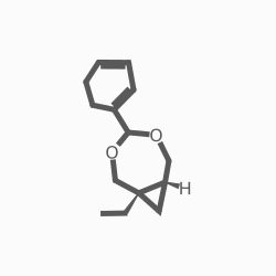 CC[C@@]12COC(C3=CC=CCC3)OC[C@@H]1C2